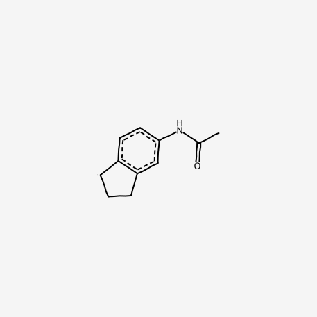 CC(=O)Nc1ccc2c(c1)CC[CH]2